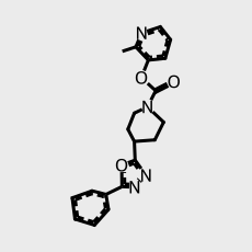 Cc1ncccc1OC(=O)N1CCC(c2nnc(-c3ccccc3)o2)CC1